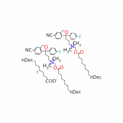 CCCCCCCCCCCCCCCCCC(=O)OC[N+](C)(C)CCCC1(c2ccc(F)cc2)OCc2cc(C#N)ccc21.CCCCCCCCCCCCCCCCCC(=O)OC[N+](C)(C)CCCC1(c2ccc(F)cc2)OCc2cc(C#N)ccc21.CCCCCCCCCCCCCCCCCC(=O)[O-].[I-]